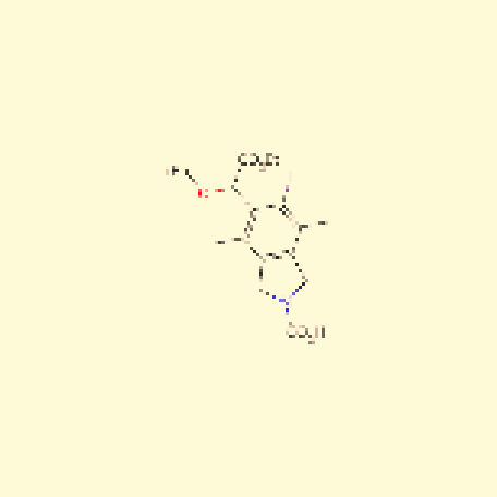 CCOC(=O)C(OC(C)(C)C)c1c(C)c2c(c(C)c1I)CN(C(=O)O)C2